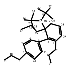 CCCC1=C(c2ccc(CCC)cc2)C(CCC)(P(C(C)(C)C)C(C)(C)C)CC=C1